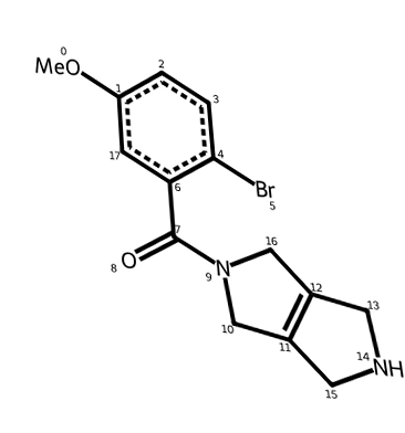 COc1ccc(Br)c(C(=O)N2CC3=C(CNC3)C2)c1